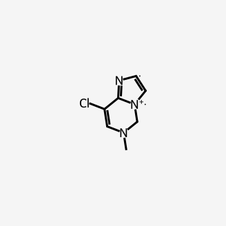 CN1C=C(Cl)C2=N[C]=C[N+]2C1